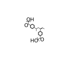 CC=C(CC(C)c1ccc(C(=O)C(C)(C)O)cc1)c1ccc(C(=O)C(C)(C)O)cc1